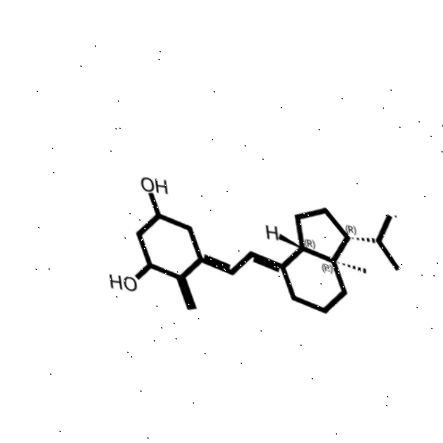 [CH2]C(C)[C@H]1CC[C@H]2C(=CC=C3CC(O)CC(O)C3=C)CCC[C@]12C